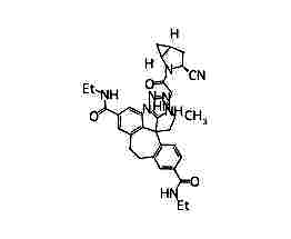 CCNC(=O)c1ccc2c(c1)CCc1cc(C(=O)NCC)ccc1C2(C[C@@H](C)NCC(=O)N1[C@H](C#N)C[C@@H]2C[C@@H]21)c1nnn[nH]1